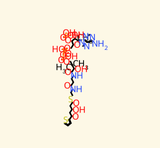 CC(C)(COP(=O)(O)OP(=O)(O)OCC1OC(C)(n2cnc3c(N)ncnc32)C(O)C1OP(=O)(O)O)C(O)C(=O)NCCC(=O)NCCSC(=O)CC(O)CC(=O)c1cccs1